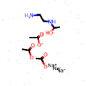 CC(=O)[O-].CC(=O)[O-].CC(=O)[O-].CC(O)NCCN.[Na+].[Na+].[Na+]